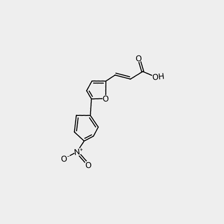 O=C(O)C=Cc1ccc(-c2ccc([N+](=O)[O-])cc2)o1